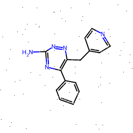 Nc1nnc(Cc2ccncc2)c(-c2ccccc2)n1